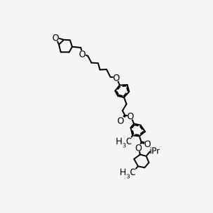 Cc1cc(OC(=O)CCc2ccc(OCCCCCCOCC3CCC4OC4C3)cc2)ccc1C(=O)OC1CC(C)CCC1C(C)C